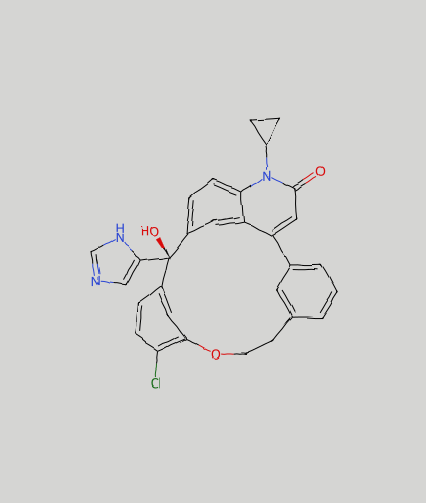 O=c1cc2c3cc(ccc3n1C1CC1)[C@@](O)(c1cnc[nH]1)c1ccc(Cl)c(c1)OCCc1cccc-2c1